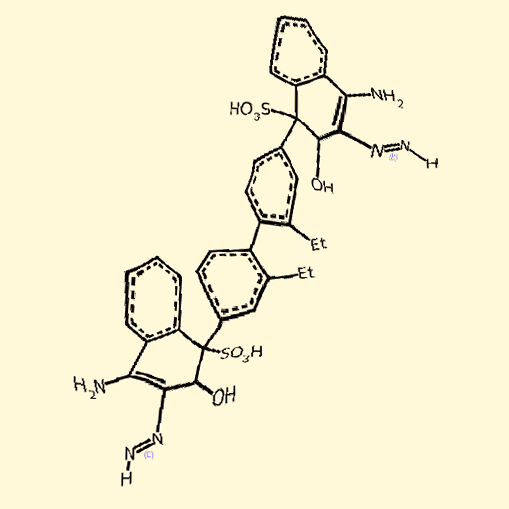 [H]/N=N/C1=C(N)c2ccccc2C(c2ccc(-c3ccc(C4(S(=O)(=O)O)c5ccccc5C(N)=C(/N=N/[H])C4O)cc3CC)c(CC)c2)(S(=O)(=O)O)C1O